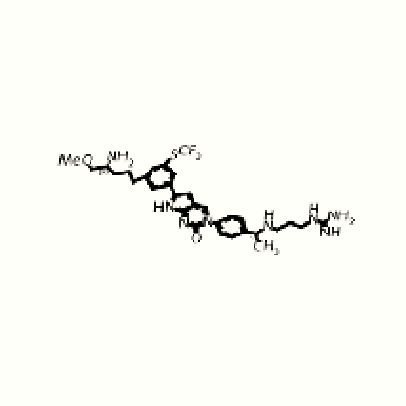 COC[C@H](N)CCCc1cc(SC(F)(F)F)cc(-c2cc3cn(-c4ccc([C@H](C)NCCCNC(=N)N)cc4)c(=O)nc3[nH]2)c1